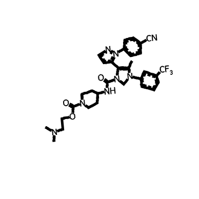 CC1=C(c2ccnn2-c2ccc(C#N)cc2)N(C(=O)NC2CCN(C(=O)OCCN(C)C)CC2)CN1c1cccc(C(F)(F)F)c1